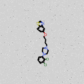 Clc1cccc(N2CCN(CCCCOc3ccc4scnc4c3)CC2)c1Cl